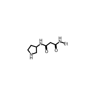 CCNC(=O)CC(=O)NC1CCNC1